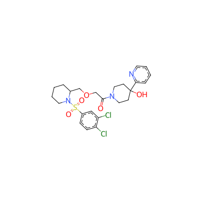 O=C(COCC1CCCCN1S(=O)(=O)c1ccc(Cl)c(Cl)c1)N1CCC(O)(c2ccccn2)CC1